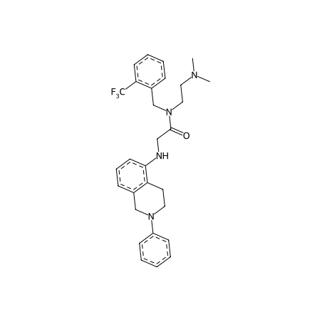 CN(C)CCN(Cc1ccccc1C(F)(F)F)C(=O)CNc1cccc2c1CCN(c1ccccc1)C2